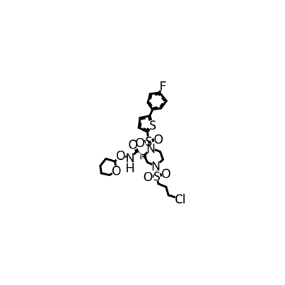 O=C(NOC1CCCCO1)[C@H]1CN(S(=O)(=O)CCCCl)CCN1S(=O)(=O)c1ccc(-c2ccc(F)cc2)s1